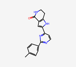 Cc1ccc(-c2nccc(-c3cc4c([nH]3)CCNC4=O)n2)cc1